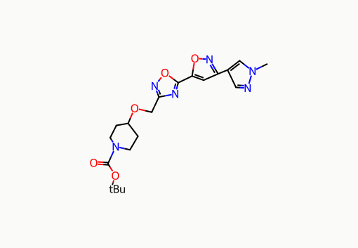 Cn1cc(-c2cc(-c3nc(COC4CCN(C(=O)OC(C)(C)C)CC4)no3)on2)cn1